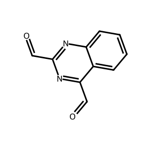 O=Cc1nc(C=O)c2ccccc2n1